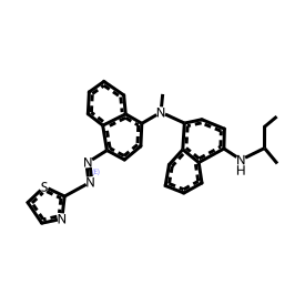 CCC(C)Nc1ccc(N(C)c2ccc(/N=N/c3nccs3)c3ccccc23)c2ccccc12